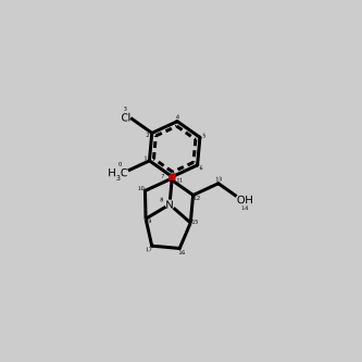 Cc1c(Cl)cccc1N1C2CCC(CO)C1CC2